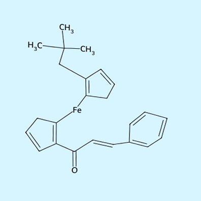 CC(C)(C)CC1=[C]([Fe][C]2=C(C(=O)/C=C/c3ccccc3)C=CC2)CC=C1